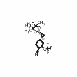 CC1(C)OB([C@H]2C[C@@H]2c2ccc(C#N)c(OC(F)(F)F)c2)OC1(C)C